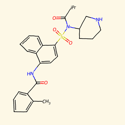 Cc1ccccc1C(=O)Nc1ccc(S(=O)(=O)N(C(=O)C(C)C)C2CCCNC2)c2ccccc12